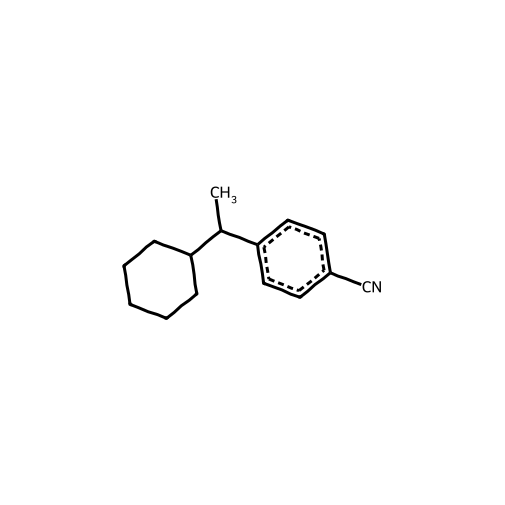 CC(c1ccc(C#N)cc1)C1CCCCC1